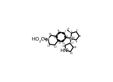 C[C@H]1CCC[N+]1(c1ccc2c(c1)CCN(C(=O)O)C2)[C@H]1CCNC1